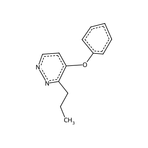 CCCc1nnccc1Oc1ccccc1